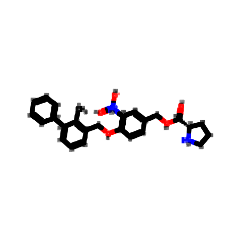 Cc1c(COc2ccc(COC(=O)[C@@H]3CCCN3)cc2[N+](=O)[O-])cccc1-c1ccccc1